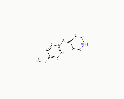 BrCc1ccc(C=C2CCNCC2)cc1